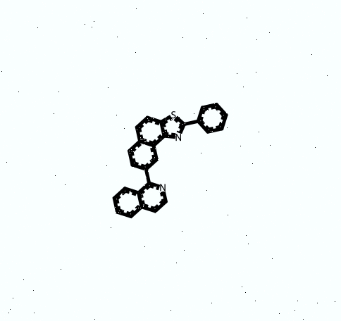 c1ccc(-c2nc3c(ccc4ccc(-c5nccc6ccccc56)cc43)s2)cc1